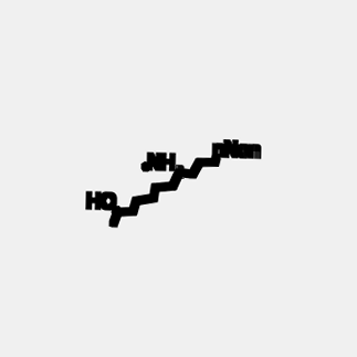 CCCCCCCCCCCCCCCCCCC(C)O.CN